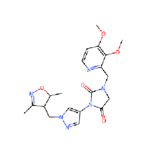 COc1ccnc(CN2CC(=O)N(c3cnn(CC4C(C)=NOC4C)c3)C2=O)c1OC